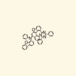 c1ccc(-c2nc(-c3ccccc3)nc(-c3cccc4oc5cc(N(c6ccccc6)c6cccc7c6oc6ccccc67)c6ccccc6c5c34)n2)cc1